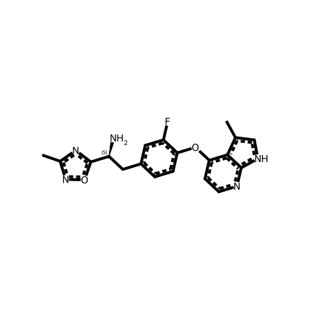 Cc1noc([C@@H](N)Cc2ccc(Oc3ccnc4[nH]cc(C)c34)c(F)c2)n1